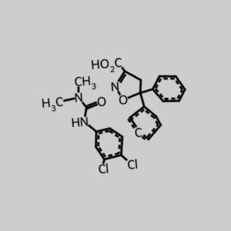 CN(C)C(=O)Nc1ccc(Cl)c(Cl)c1.O=C(O)C1=NOC(c2ccccc2)(c2ccccc2)C1